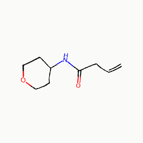 C=CCC(=O)NC1CCOCC1